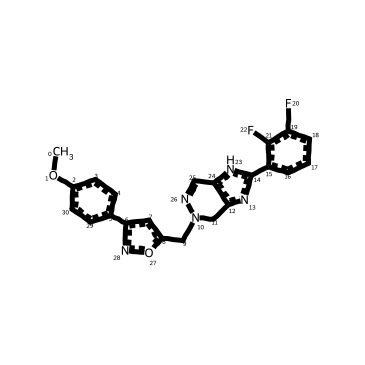 COc1ccc(-c2cc(CN3Cc4nc(-c5cccc(F)c5F)[nH]c4C=N3)on2)cc1